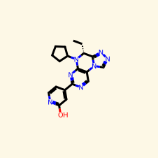 CC[C@@H]1c2nncn2-c2cnc(-c3ccnc(O)c3)nc2N1C1CCCC1